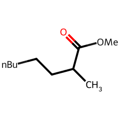 CCCCCCC(C)C(=O)OC